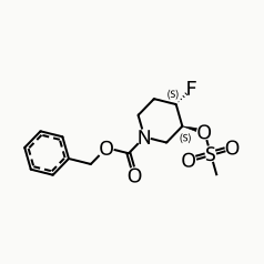 CS(=O)(=O)O[C@H]1CN(C(=O)OCc2ccccc2)CC[C@@H]1F